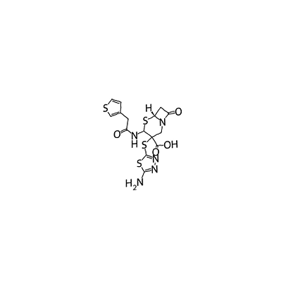 Nc1nnc(SC2(C(=O)O)CN3C(=O)C[C@H]3SC2NC(=O)Cc2ccsc2)s1